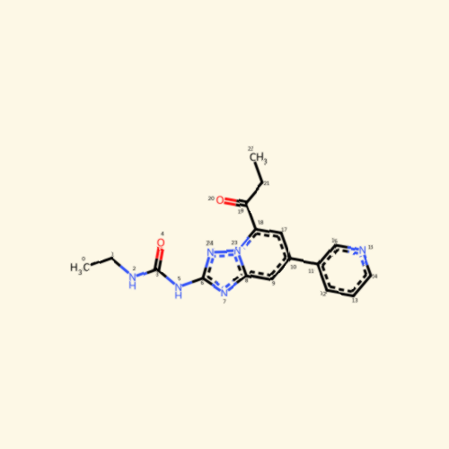 CCNC(=O)Nc1nc2cc(-c3cccnc3)cc(C(=O)CC)n2n1